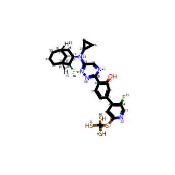 Oc1cc(-c2cc(SC(S)(S)S)ncc2F)ccc1-c1ncc(N(C2CC2)[C@@H]2C[C@H]3CCC[C@H](C3)[C@@H]2F)nn1